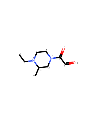 CCN1CCN(C(=O)C=O)CC1C